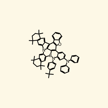 CC(C)(C)c1ccc(N2B3c4cc5c(cc4-n4c6cc7c(cc6c6c8c(oc9ccccc98)c(c3c64)-c3ccc(N(c4ccccc4)c4ccccc4)cc32)C(C)(C)CCC7(C)C)C(C)(C)CCC5(C)C)cc1